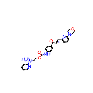 NN(CCOC(=O)Nc1ccc(C(=O)/C=C/c2cccc(N3CCOCC3)n2)cc1)c1ccccn1